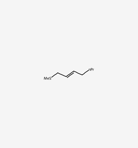 [CH2]CCCC=CCSC